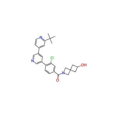 CC(C)(C)c1cc(-c2cncc(-c3ccc(C(=O)N4CC5(CC(O)C5)C4)cc3Cl)c2)ccn1